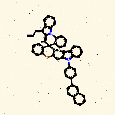 C=C/C=c1\c2n(c3ccccc13)-c1ccccc1C1(C=2C)c2ccccc2Sc2cc3c(cc21)c1ccccc1n3-c1ccc(-c2ccc3ccccc3c2)cc1